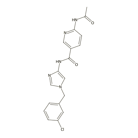 CC(=O)Nc1ccc(C(=O)Nc2cn(Cc3cccc(Cl)c3)cn2)cn1